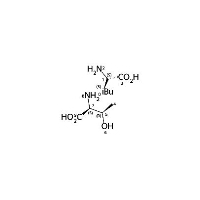 CC[C@H](C)[C@H](N)C(=O)O.C[C@@H](O)[C@H](N)C(=O)O